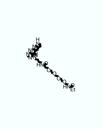 CCC(=O)NCCOCCOCCOCCOCCC(=O)NCCCCn1nc(-c2cnc3[nH]ccc3c2)c2c(N)ncnc21